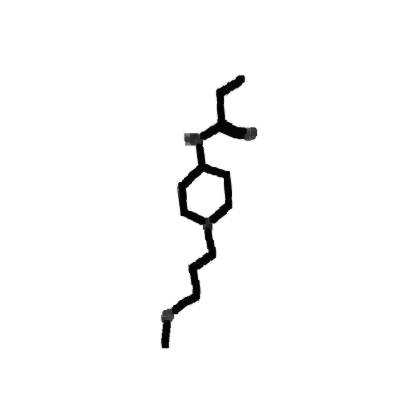 CCC(=O)NC1CCN(CCCOC)CC1